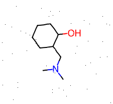 CN(C)CC1CCCCC1O